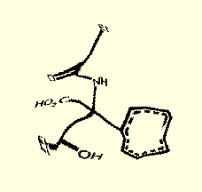 CCC(=O)NC(C(=O)O)(c1ccccc1)C(O)CC